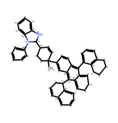 CC1(c2ccc3c(-c4cccc5c4CCCC5)c4c(c(C5CC=Cc6ccccc65)c3c2)=CCCC=4)C=CC(C2Nc3ccccc3N2c2ccccc2)CC1